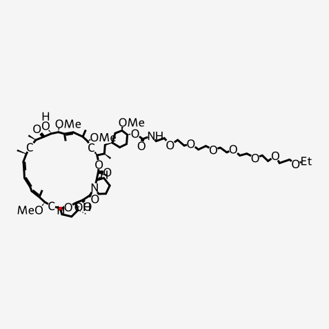 CCOCCOCCOCCOCCOCCOCCOCCNC(=O)O[C@@H]1CC[C@@H](C[C@@H](C)[C@@H]2C[C@@H](OC)C(C)/C=C(\C)[C@@H](OC)[C@@H](O)C(=O)[C@H](C)C[C@H](C)/C=C/C=C/C=C(\C)[C@@H](OC)C[C@@H]3CC[C@@H](C)[C@@](O)(O3)C(=O)C(=O)N3CCCC[C@H]3C(=O)O2)C[C@H]1OC